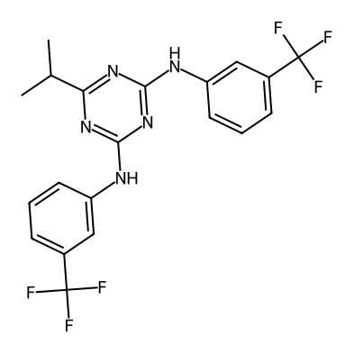 CC(C)c1nc(Nc2cccc(C(F)(F)F)c2)nc(Nc2cccc(C(F)(F)F)c2)n1